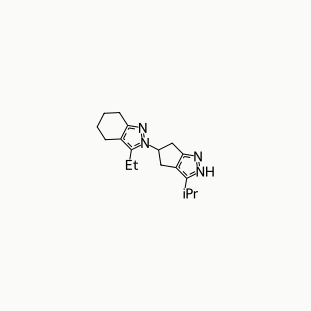 CCc1c2c(nn1C1Cc3n[nH]c(C(C)C)c3C1)CCCC2